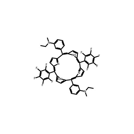 CCN(C)c1cccc(-c2c3nc(c(-c4c(F)c(F)c(F)c(F)c4F)c4ccc([nH]4)c(-c4cccc(N(C)CC)c4)c4nc(c(-c5c(F)c(F)c(F)c(F)c5F)c5ccc2[nH]5)C=C4)C=C3)c1